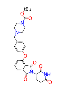 CC(C)(C)OC(=O)N1CCN(Cc2ccc(Oc3cccc4c3C(=O)N(C3CCC(=O)NC3=O)C4=O)cc2)CC1